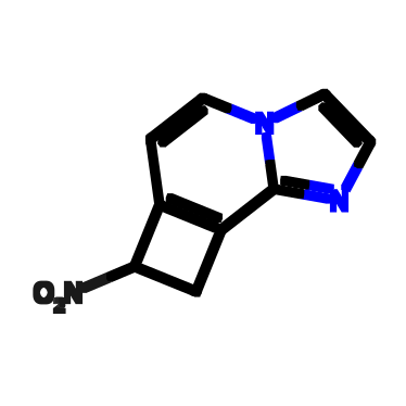 O=[N+]([O-])C1Cc2c1ccn1ccnc21